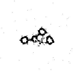 O=S(=O)(Oc1ccccc1)n1nc(-c2ccccc2)cc1-c1ccccc1